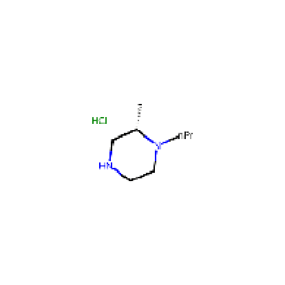 CCCN1CCNC[C@@H]1C.Cl